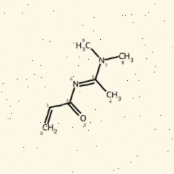 C=CC(=O)/N=C(\C)N(C)C